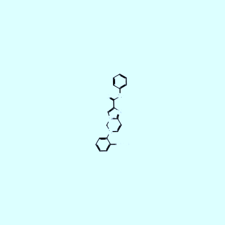 O=Cc1ccccc1N1C=CC2=NC(C(=O)Nc3ccccc3)=C[N+]2C1